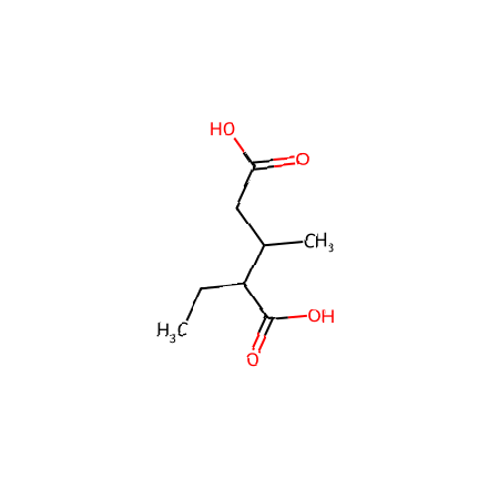 CCC(C(=O)O)C(C)CC(=O)O